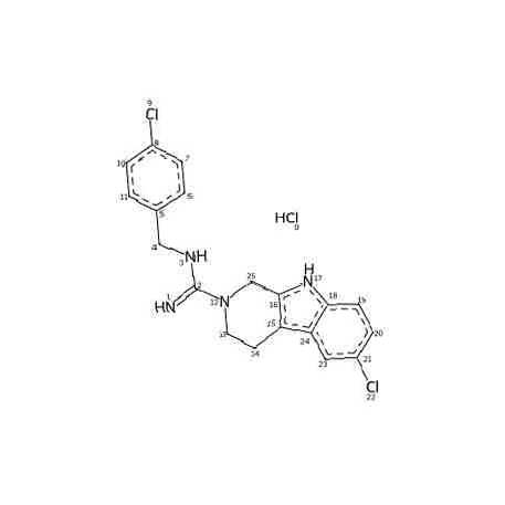 Cl.N=C(NCc1ccc(Cl)cc1)N1CCc2c([nH]c3ccc(Cl)cc23)C1